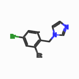 CCc1cc(Br)c[c]c1Cn1ccnc1